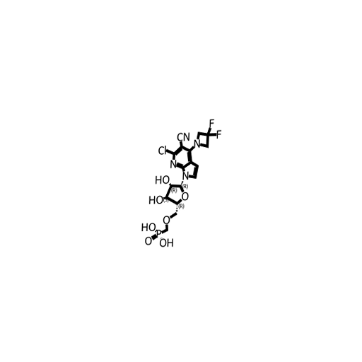 N#Cc1c(Cl)nc2c(ccn2[C@@H]2O[C@H](COCP(=O)(O)O)[C@@H](O)[C@H]2O)c1N1CC(F)(F)C1